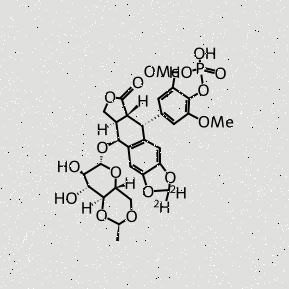 [2H]C1([2H])Oc2cc3c(cc2O1)[C@@H](O[C@@H]1O[C@@H]2CO[C@@H](C)O[C@H]2[C@H](O)[C@H]1O)[C@H]1COC(=O)[C@@H]1[C@@H]3c1cc(OC)c(OP(=O)(O)O)c(OC)c1